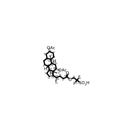 CC(=O)O[C@@H]1CC[C@@]2(C)C(CC[C@H]3[C@@H]4CC[C@H]([C@H](C)CCC(=O)OCC(F)(F)S(=O)(=O)O)[C@@]4(C)[C@@H](OC(C)=O)C[C@@H]32)C1